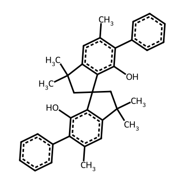 Cc1cc2c(c(O)c1-c1ccccc1)C1(CC2(C)C)CC(C)(C)c2cc(C)c(-c3ccccc3)c(O)c21